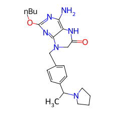 CCCCOc1nc(N)c2c(n1)N(Cc1ccc(C(C)N3CCCC3)cc1)CC(=O)N2